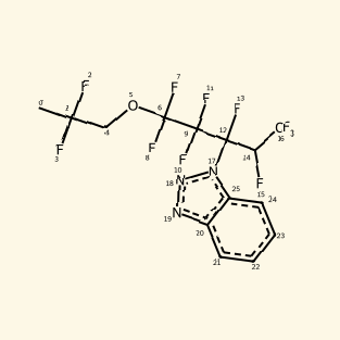 CC(F)(F)COC(F)(F)C(F)(F)C(F)(C(F)C(F)(F)F)n1nnc2ccccc21